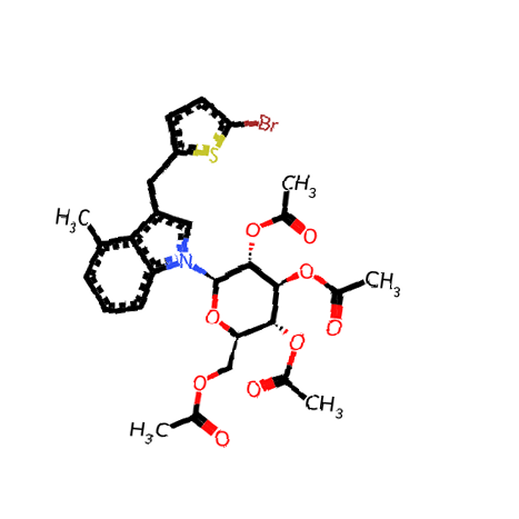 CC(=O)OC[C@H]1O[C@@H](n2cc(Cc3ccc(Br)s3)c3c(C)cccc32)[C@H](OC(C)=O)[C@@H](OC(C)=O)[C@@H]1OC(C)=O